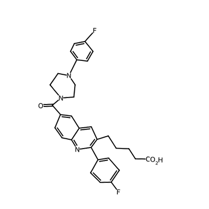 O=C(O)CCCCc1cc2cc(C(=O)N3CCN(c4ccc(F)cc4)CC3)ccc2nc1-c1ccc(F)cc1